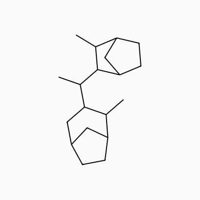 CC1C2CCC(C2)CC1C(C)C1C2CCC(C2)C1C